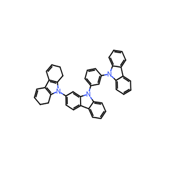 C1=Cc2c3c(n(-c4ccc5c6ccccc6n(-c6cccc(-n7c8ccccc8c8ccccc87)c6)c5c4)c2CC1)CCC=C3